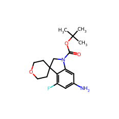 CC(C)(C)OC(=O)N1CC2(CCOCC2)c2c(F)cc(N)cc21